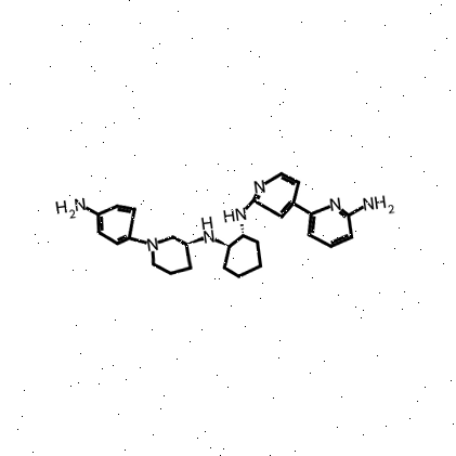 Nc1ccc(N2CCC[C@H](N[C@@H]3CCCC[C@H]3Nc3cc(-c4cccc(N)n4)ccn3)C2)cc1